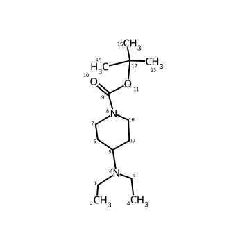 CCN(CC)C1CCN(C(=O)OC(C)(C)C)CC1